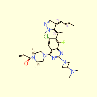 C=CC(=O)N1[C@H](C)CN(c2nc(N3CC(N(C)C)C3)nc3c(F)c(/C(C)=c4/c(=C\C=C\C)cnn4C)c(Cl)cc23)C[C@@H]1C